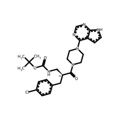 CC(C)(C)OC(=O)NC[C@H](Cc1ccc(Cl)cc1)C(=O)N1CCN(c2ncnc3[nH]ccc23)CC1